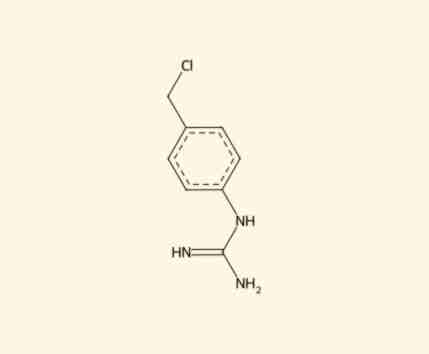 N=C(N)Nc1ccc(CCl)cc1